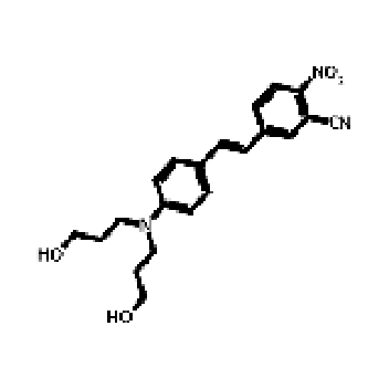 N#Cc1cc(C=Cc2ccc(N(CCCO)CCCO)cc2)ccc1[N+](=O)[O-]